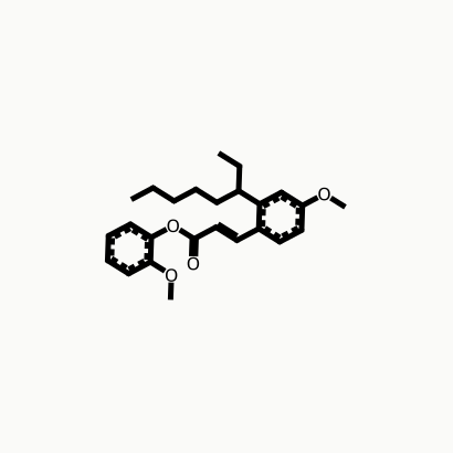 CCCCCC(CC)c1cc(OC)ccc1C=CC(=O)Oc1ccccc1OC